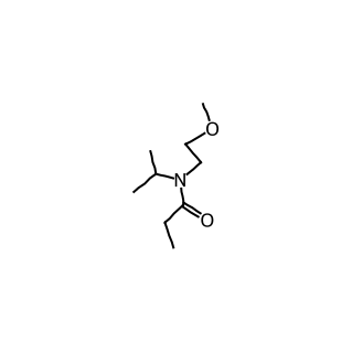 CCC(=O)N(CCOC)C(C)C